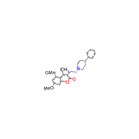 COc1cc(OC)c2c(C)c(CCN3CCC(c4ccccc4)CC3)c(=O)oc2c1